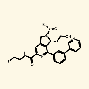 CCCC[S@@+]([O-])N1Cc2cc(C(=O)NCCF)nc(-c3cccc(-c4cccnc4)c3)c2[C@H]1CCO